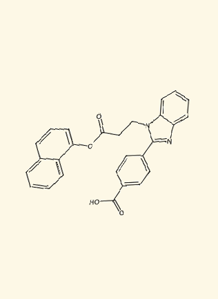 O=C(CCn1c(-c2ccc(C(=O)O)cc2)nc2ccccc21)Oc1cccc2ccccc12